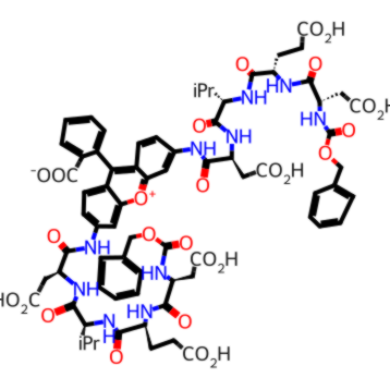 CC(C)[C@H](NC(=O)[C@H](CCC(=O)O)NC(=O)[C@H](CC(=O)O)NC(=O)OCc1ccccc1)C(=O)N[C@@H](CC(=O)O)C(=O)Nc1ccc2c(-c3ccccc3C(=O)[O-])c3ccc(NC(=O)[C@H](CC(=O)O)NC(=O)[C@@H](NC(=O)[C@H](CCC(=O)O)NC(=O)[C@H](CC(=O)O)NC(=O)OCc4ccccc4)C(C)C)cc3[o+]c2c1